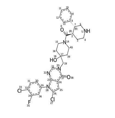 O=C([C@@H]1CCNC[C@H]1c1ccccc1)N1CCC(O)(Cn2cnc3c(cc(Cl)n3-c3ccc(Cl)c(F)c3)c2=O)CC1